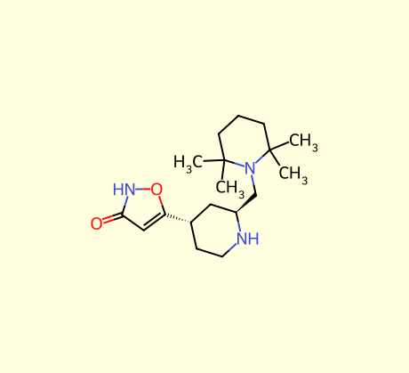 CC1(C)CCCC(C)(C)N1C[C@@H]1C[C@@H](c2cc(=O)[nH]o2)CCN1